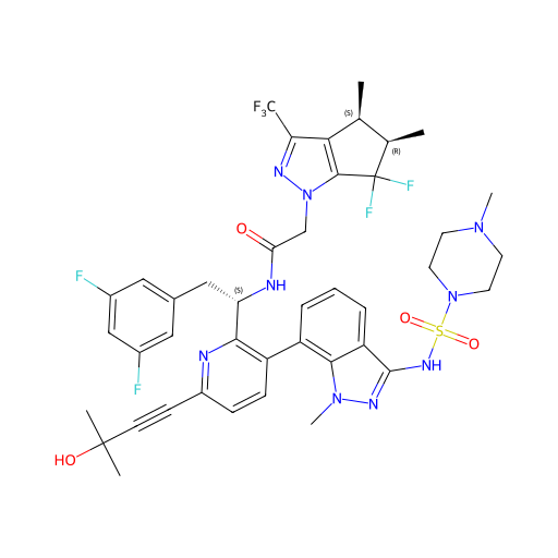 C[C@@H]1c2c(C(F)(F)F)nn(CC(=O)N[C@@H](Cc3cc(F)cc(F)c3)c3nc(C#CC(C)(C)O)ccc3-c3cccc4c(NS(=O)(=O)N5CCN(C)CC5)nn(C)c34)c2C(F)(F)[C@@H]1C